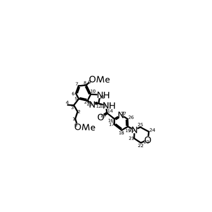 COCCC(C)c1ccc(OC)c2[nH]c(NC(=O)c3ccc(N4CCOCC4)cn3)nc12